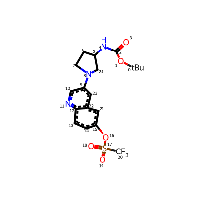 CC(C)(C)OC(=O)NC1CCN(c2cnc3ccc(OS(=O)(=O)C(F)(F)F)cc3c2)C1